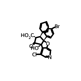 O=C(O)[C@H]1C(=O)[C@@]2(O)c3c(Cl)cncc3O[C@@]2(c2ccc(Br)cc2)[C@@H]1c1ccccc1